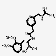 N=C(N)NCc1cc(CC(=O)N[C@@H](Cc2cccc(C(=O)O)c2OC=O)B(O)O)ccn1